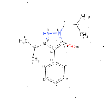 CC(C)Cn1[nH]c(C(C)C)c(-c2ccccc2)c1=O